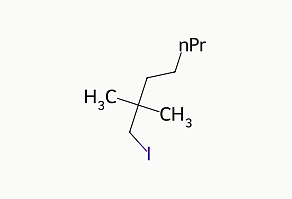 CCCCCC(C)(C)CI